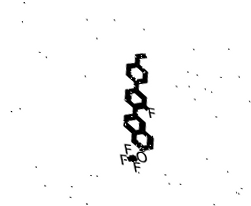 CCC1CCC(c2ccc(-c3ccc4cc(OC(F)(F)F)ccc4c3)c(F)c2)CC1